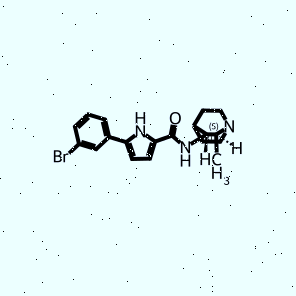 C[C@H]1[C@H](NC(=O)c2ccc(-c3cccc(Br)c3)[nH]2)C2CCN1CC2